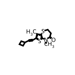 Cc1c(C#CC2CCC2)sc2c1SCCC(=O)N2C